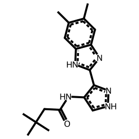 Cc1cc2nc(-c3n[nH]cc3NC(=O)CC(C)(C)C)[nH]c2cc1C